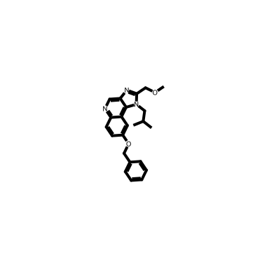 COCc1nc2cnc3ccc(OCc4ccccc4)cc3c2n1CC(C)C